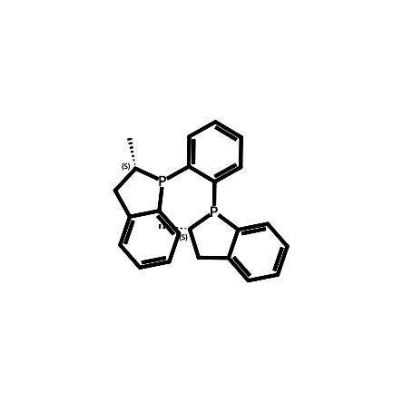 C[C@H]1Cc2ccccc2P1c1ccccc1P1c2ccccc2C[C@@H]1C